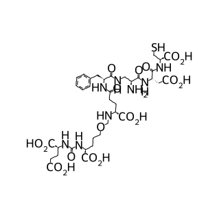 N[C@@H](CNC(=O)[C@H](Cc1ccccc1)NC(=O)CC[C@H](NCOCCC[C@H](NC(=O)N[C@@H](CCC(=O)O)C(=O)O)C(=O)O)C(=O)O)C(=O)N[C@@H](CC(=O)O)C(=O)N[C@@H](CS)C(=O)O